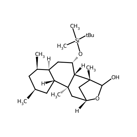 C[C@H]1C[C@@H](C)[C@H]2C[C@H](O[Si](C)(C)C(C)(C)C)[C@H]3[C@@](C)(C[C@@H]4C[C@@]3(C)C(O)O4)[C@@H]2C1